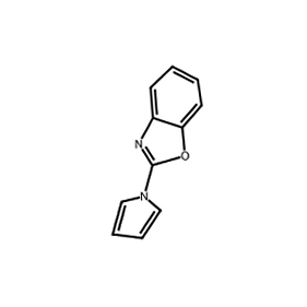 c1ccc2oc(-n3cccc3)nc2c1